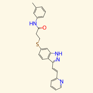 Cc1cccc(NC(=O)CCSc2ccc3c(/C=C/c4ccccn4)n[nH]c3c2)c1